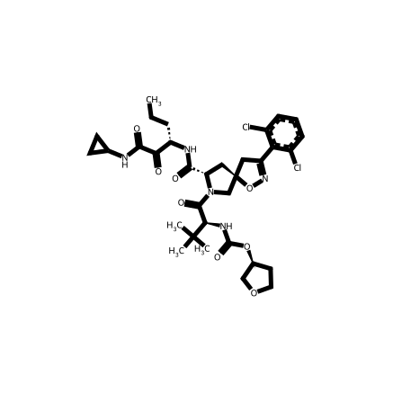 CCC[C@H](NC(=O)[C@@H]1C[C@]2(CC(c3c(Cl)cccc3Cl)=NO2)CN1C(=O)[C@@H](NC(=O)O[C@H]1CCOC1)C(C)(C)C)C(=O)C(=O)NC1CC1